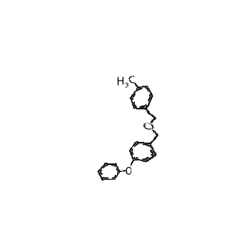 Cc1ccc(COCc2ccc(Oc3ccccc3)cc2)cc1